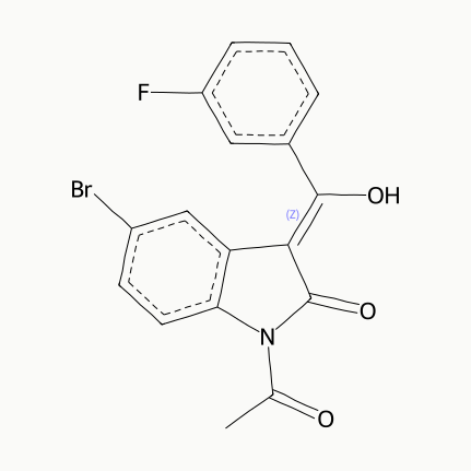 CC(=O)N1C(=O)/C(=C(\O)c2cccc(F)c2)c2cc(Br)ccc21